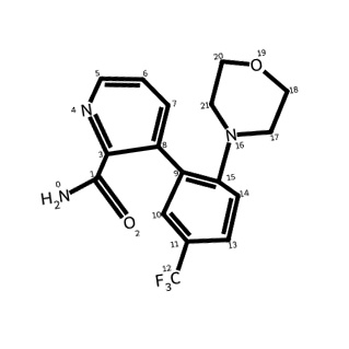 NC(=O)c1ncccc1-c1cc(C(F)(F)F)ccc1N1CCOCC1